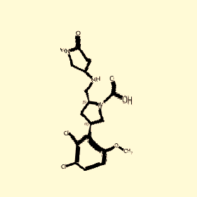 COc1ccc(Cl)c(Cl)c1[C@H]1C[C@@H](CNC2CNC(=O)C2)N(C(=O)O)C1